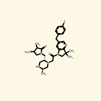 CC1CN(C[C@H]2CN[C@H](C)CN2CC(=O)N2CC(C)(C)c3ncc(Cc4ccc(F)cc4)cc32)C(=O)C1C